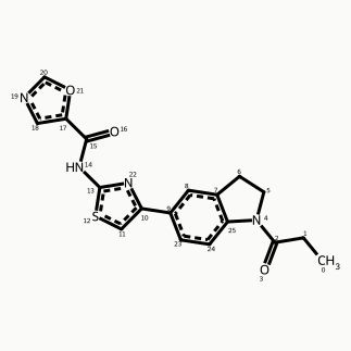 CCC(=O)N1CCc2cc(-c3csc(NC(=O)c4cnco4)n3)ccc21